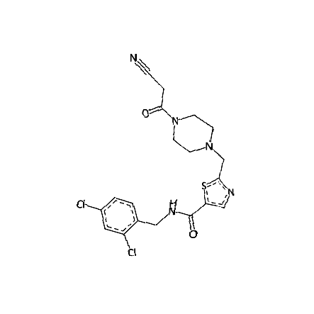 N#CCC(=O)N1CCN(Cc2ncc(C(=O)NCc3ccc(Cl)cc3Cl)s2)CC1